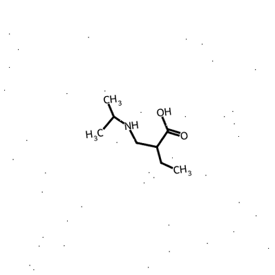 CCC(CNC(C)C)C(=O)O